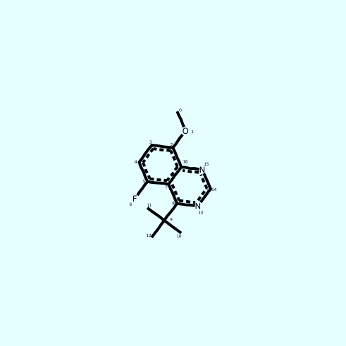 COc1ccc(F)c2c(C(C)(C)C)ncnc12